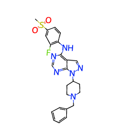 CS(=O)(=O)c1ccc(Nc2ncnc3c2cnn3C2CCN(Cc3ccccc3)CC2)c(F)c1